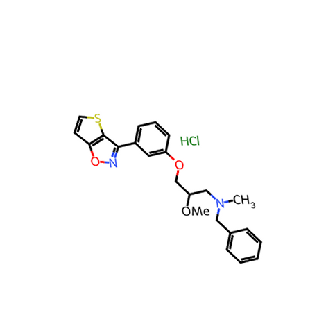 COC(COc1cccc(-c2noc3ccsc23)c1)CN(C)Cc1ccccc1.Cl